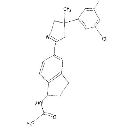 O=C(NC1CCc2cc(C3=NCC(c4cc(Cl)cc(Cl)c4)(C(F)(F)F)C3)ccc21)C(F)(F)F